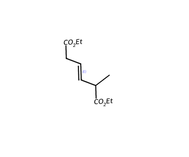 CCOC(=O)C/C=C/C(C)C(=O)OCC